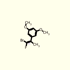 COc1cc(OC)cc(/C(C)=C(/F)Br)c1